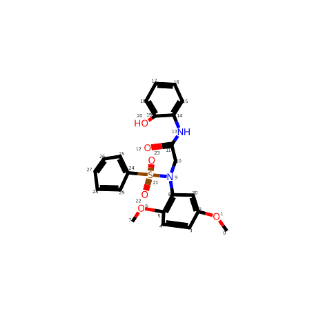 COc1ccc(OC)c(N(CC(=O)Nc2ccccc2O)S(=O)(=O)c2ccccc2)c1